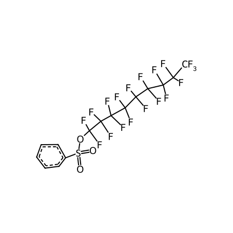 O=S(=O)(OC(F)(F)C(F)(F)C(F)(F)C(F)(F)C(F)(F)C(F)(F)C(F)(F)C(F)(F)C(F)(F)F)c1ccccc1